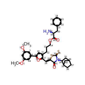 COc1cc(OC)cc(-c2cc(CCCOC(=O)C(N)Cc3ccccc3)c(C=C3SC(=S)N(C4CC5CCC4C5)C3=O)o2)c1